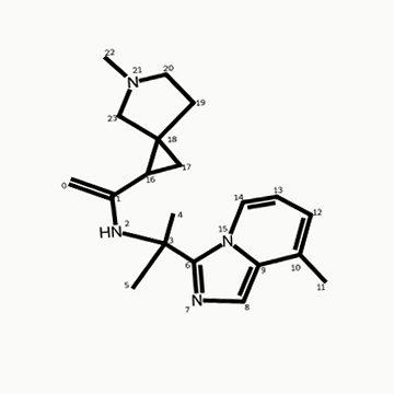 C=C(NC(C)(C)c1ncc2c(C)cccn12)C1CC12CCN(C)C2